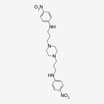 O=[N+]([O-])c1ccc(NCCCN2CCN(CCCNc3ccc([N+](=O)[O-])cc3)CC2)cc1